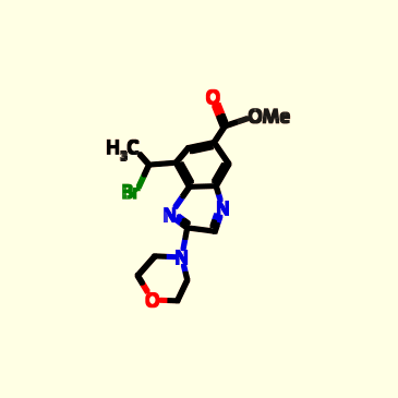 COC(=O)c1cc(C(C)Br)c2nc(N3CCOCC3)cnc2c1